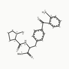 COC(=O)C(Cc1ccc(C(=O)c2ccccc2N)cc1)NC(=O)C1CCCN1C(C)=O